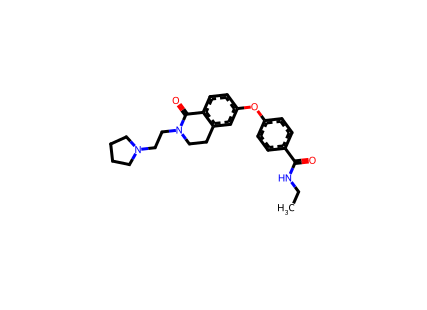 CCNC(=O)c1ccc(Oc2ccc3c(c2)CCN(CCN2CCCC2)C3=O)cc1